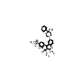 Cc1nc2ccc(N3CCC(O)(c4ccccc4)CC3)cc2c(-c2ccc(S(C)(=O)=O)cc2)c1C(C)(F)C=O